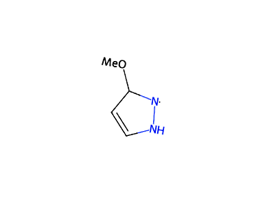 COC1C=CN[N]1